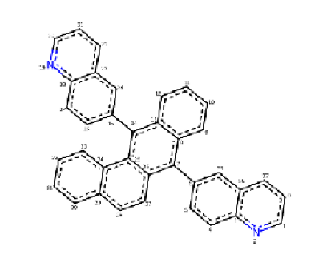 c1cnc2ccc(-c3c4ccccc4c(-c4ccc5ncccc5c4)c4c3ccc3ccccc34)cc2c1